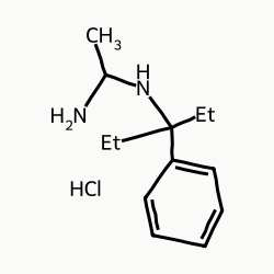 CCC(CC)(NC(C)N)c1ccccc1.Cl